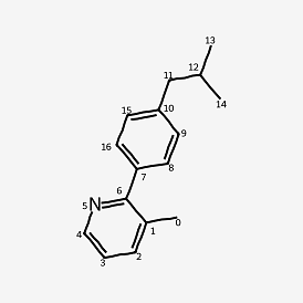 Cc1cccnc1-c1ccc(CC(C)C)cc1